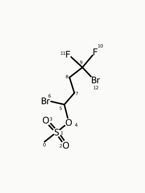 CS(=O)(=O)OC(Br)CCC(F)(F)Br